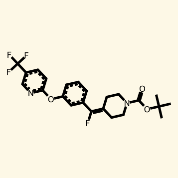 CC(C)(C)OC(=O)N1CCC(=C(F)c2cccc(Oc3ccc(C(F)(F)F)cn3)c2)CC1